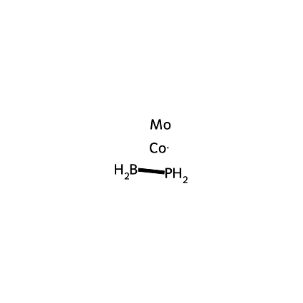 BP.[Co].[Mo]